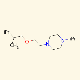 CC(C)C(C)COCCN1CCN(C(C)C)CC1